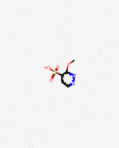 COc1nnccc1S(=O)(=O)O